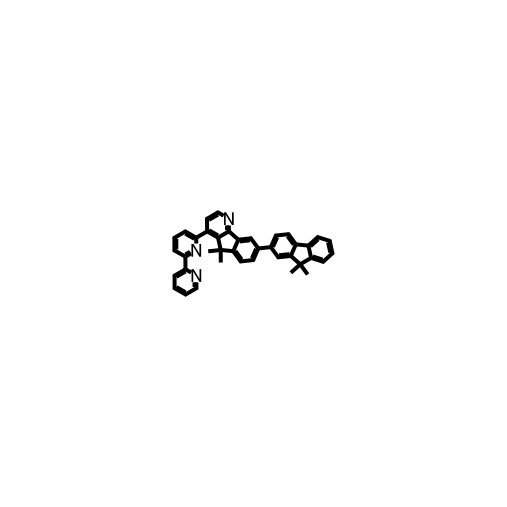 CC1(C)c2ccccc2-c2ccc(-c3ccc4c(c3)-c3nccc(-c5cccc(-c6ccccn6)n5)c3C4(C)C)cc21